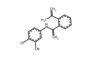 C=C(C)c1ccccc1C(=C)Nc1ccc(Cl)c(C#N)c1